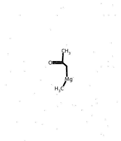 [CH3][Mg][CH2]C(C)=O